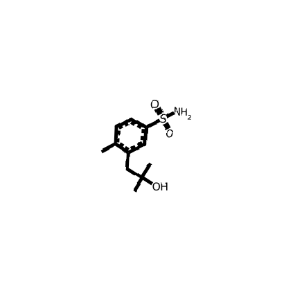 Cc1ccc(S(N)(=O)=O)cc1CC(C)(C)O